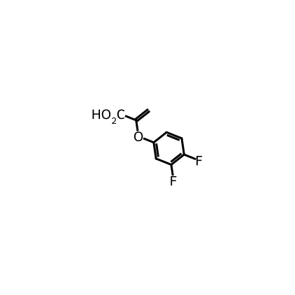 C=C(Oc1ccc(F)c(F)c1)C(=O)O